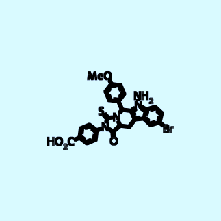 COc1ccc(C2c3c(c4cc(Br)ccc4n3N)CC3C(=O)N(c4ccc(C(=O)O)cc4)C(=S)N32)cc1